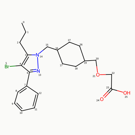 CCCc1c(Br)c(-c2ccccc2)nn1CC1CCC(COCC(=O)O)CC1